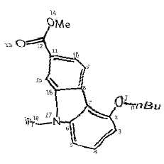 CCCCOc1cccc2c1c1ccc(C(=O)OC)cc1n2C(C)C